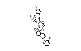 CC(N(Cc1ccc(F)cc1)C(=O)CN1C(=O)O[C@@]2(CCc3cc(-c4ncccc4F)ccc32)C1=O)C(F)(F)F